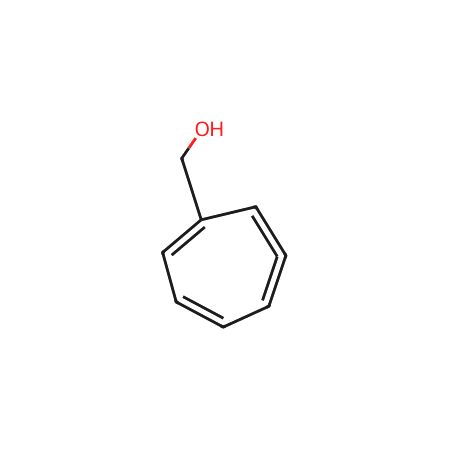 OCC1=CC=CC=C=C1